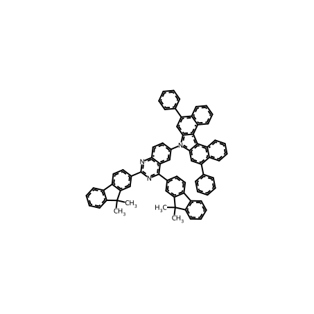 CC1(C)c2ccccc2-c2ccc(-c3nc(-c4ccc5c(c4)C(C)(C)c4ccccc4-5)c4cc(-n5c6cc(-c7ccccc7)c7ccccc7c6c6c7ccccc7c(-c7ccccc7)cc65)ccc4n3)cc21